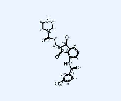 O=C(Nc1cccc2c1C(=O)N(CCC(=O)N1CCNCC1)C2=O)c1ccc(Cl)s1